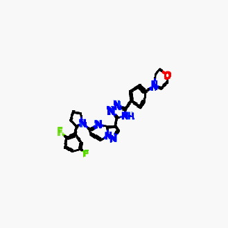 Fc1ccc(F)c([C@H]2CCCN2c2ccn3ncc(-c4nnc(-c5ccc(N6CCOCC6)cc5)[nH]4)c3n2)c1